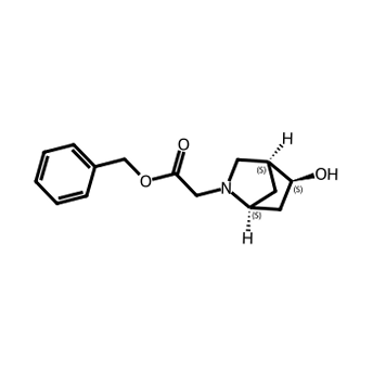 O=C(CN1C[C@@H]2C[C@H]1C[C@@H]2O)OCc1ccccc1